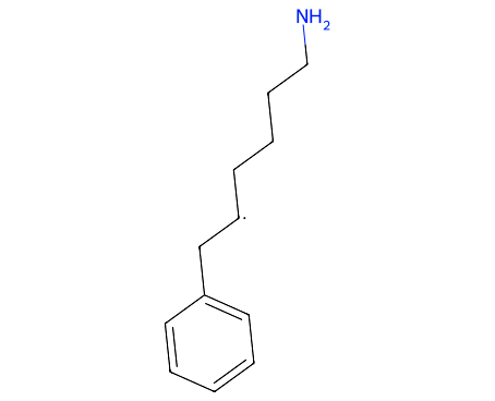 NCCCC[CH]Cc1ccccc1